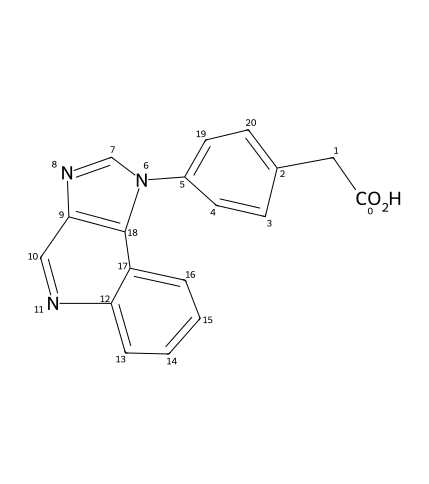 O=C(O)Cc1ccc(-n2cnc3cnc4ccccc4c32)cc1